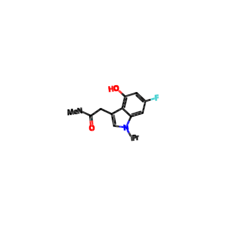 CNC(=O)Cc1cn(C(C)C)c2cc(F)cc(O)c12